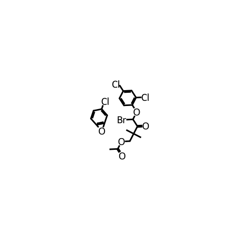 CC(=O)OCC(C)(C)C(=O)C(Br)Oc1ccc(Cl)cc1Cl.Clc1ccc2c(c1)O2